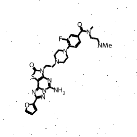 CNCCN(C)C(=O)c1ccc(N2CCN(CCn3c(=O)sc4c3nc(N)n3nc(-c5ccco5)nc43)CC2)c(F)c1